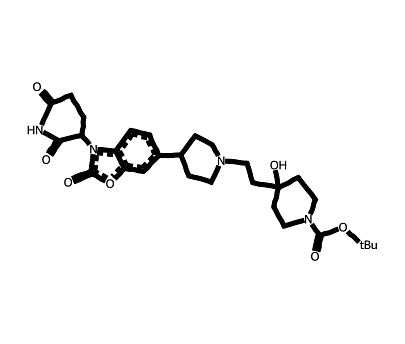 CC(C)(C)OC(=O)N1CCC(O)(CCN2CCC(c3ccc4c(c3)oc(=O)n4C3CCC(=O)NC3=O)CC2)CC1